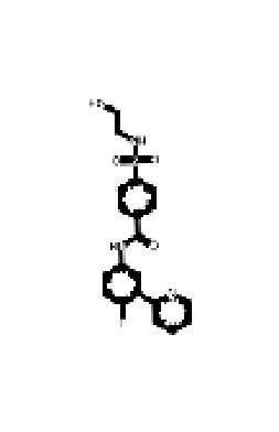 O=C(Nc1ccc(I)c(-c2ccccn2)c1)c1ccc(S(=O)(=O)NCCO)cc1